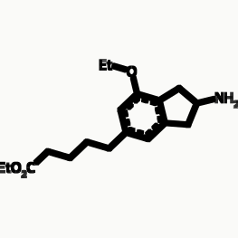 CCOC(=O)CCCCc1cc2c(c(OCC)c1)CC(N)C2